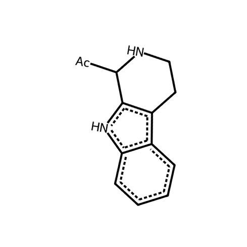 CC(=O)C1NCCc2c1[nH]c1ccccc21